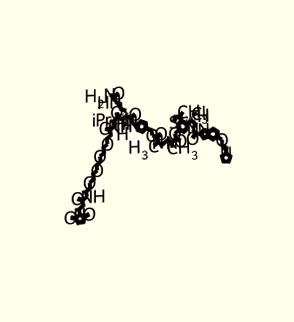 Cc1csc2c(OC(=O)N(C)CCN(C)C(=O)OCc3ccc(NC(=O)[C@H](CCCNC(N)=O)NC(=O)[C@@H](NC(=O)CCOCCOCCOCCOCCNC(=O)CCN4C(=O)C=CC4=O)C(C)C)cc3)cc3c(c12)[C@H](CCl)CN3C(=O)c1cc2cc(OCCN3CCCC3)ccc2[nH]1